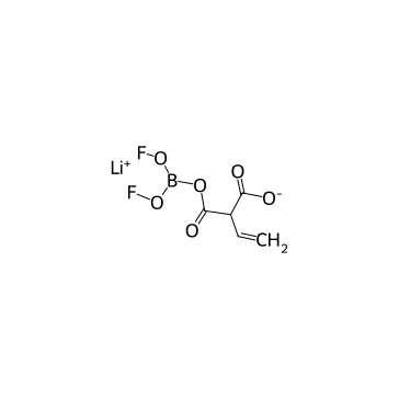 C=CC(C(=O)[O-])C(=O)OB(OF)OF.[Li+]